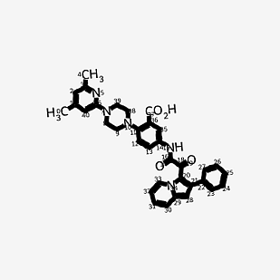 Cc1cc(C)nc(N2CCN(c3ccc(NC(=O)C(=O)c4c(-c5ccccc5)cc5ccccn45)cc3C(=O)O)CC2)c1